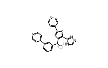 OC(c1cccc(-c2ccncc2)c1)c1cc(-c2ccncc2)sc1-c1nnc[nH]1